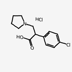 Cl.O=C(O)C(CN1CCCC1)c1ccc(Cl)cc1